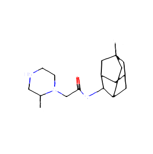 O=C(CN1CCNCC1C(F)(F)F)NC1C2CC3CC1CC(C(=O)O)(C3)C2